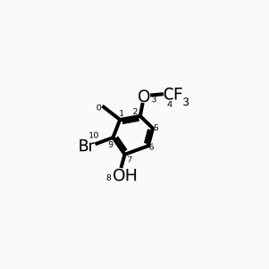 Cc1c(OC(F)(F)F)ccc(O)c1Br